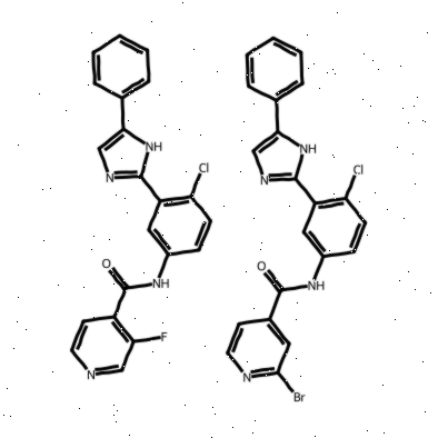 O=C(Nc1ccc(Cl)c(-c2ncc(-c3ccccc3)[nH]2)c1)c1ccnc(Br)c1.O=C(Nc1ccc(Cl)c(-c2ncc(-c3ccccc3)[nH]2)c1)c1ccncc1F